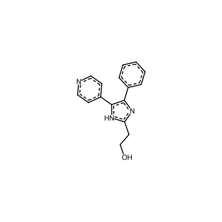 OCCc1nc(-c2ccccc2)c(-c2ccncc2)[nH]1